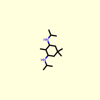 CC(C)NC1CC(C)(C)CC(NC(C)C)C1C